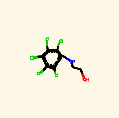 OCCNc1c(Cl)c(Cl)c(Cl)c(Cl)c1Cl